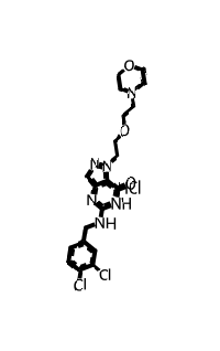 Cl.O=c1[nH]c(NCc2ccc(Cl)c(Cl)c2)nc2cnn(CCOCCN3CCOCC3)c12